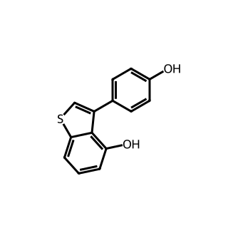 Oc1ccc(-c2csc3cccc(O)c23)cc1